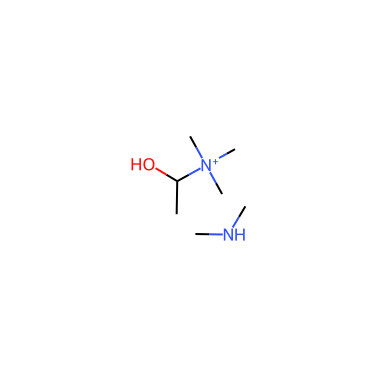 CC(O)[N+](C)(C)C.CNC